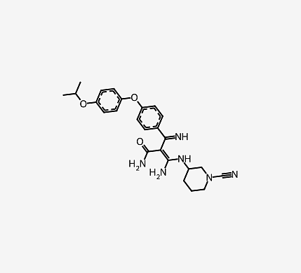 CC(C)Oc1ccc(Oc2ccc(C(=N)/C(C(N)=O)=C(/N)NC3CCCN(C#N)C3)cc2)cc1